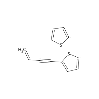 C=CC#Cc1cc[c]s1.[c]1cccs1